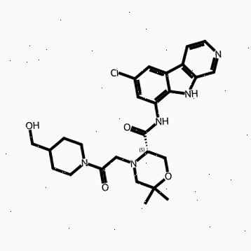 CC1(C)CN(CC(=O)N2CCC(CO)CC2)[C@H](C(=O)Nc2cc(Cl)cc3c2[nH]c2cnccc23)CO1